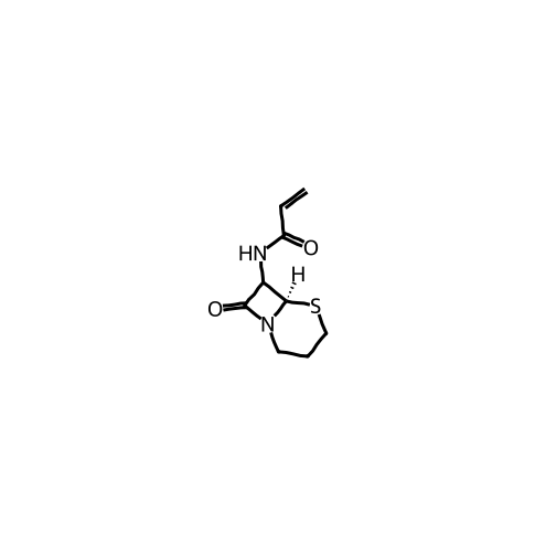 C=CC(=O)NC1C(=O)N2CCCS[C@H]12